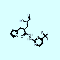 O=CN(O)C[C@H](Cc1cccs1)C(=O)NNc1nccc(C(F)(F)F)n1